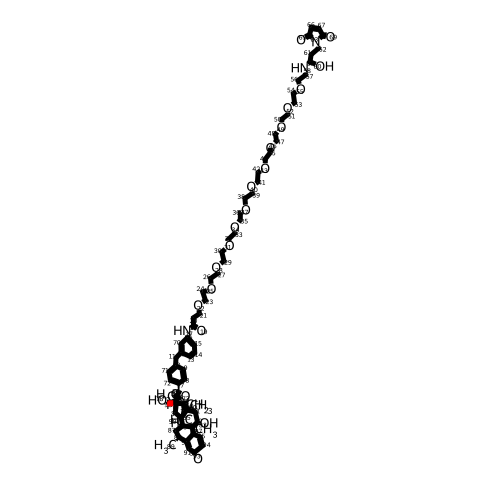 C=C[C@@]12C[C@H]3O[C@@H](c4ccc(Cc5cccc(NC(=O)CCOCCOCCOCCOCCOCCOCCOCCOCCOCCOCCOCCOCCNC(O)CCN6C(=O)C=CC6=O)c5)cc4)O[C@@]3(C(=C)CO)[C@@]1(C)C[C@H](O)[C@@]1(C)[C@H]2C[C@H](C)C2=CC(=O)C=C[C@@]21C